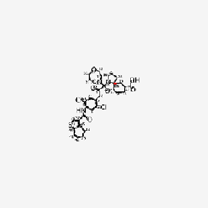 O=C(Nc1cc(Cl)c(CC(=O)C(O[C@H]2CC[C@H](C(=O)O)CC2)(N2CCCC2)N2CCCOCC2)cc1Cl)c1csc2ccccc12